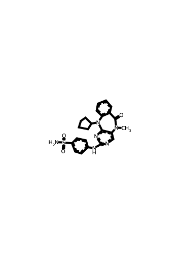 CN1C(=O)c2ccccc2N(C2CCCC2)c2nc(Nc3ccc(S(N)(=O)=O)cc3)ncc21